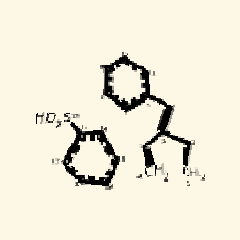 C=CC(C=C)=Cc1ccccc1.O=S(=O)(O)c1ccccc1